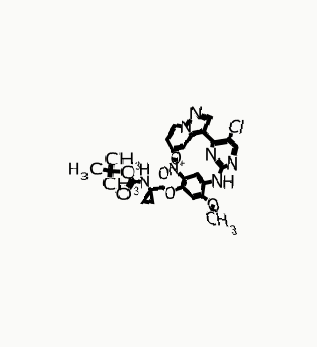 COc1cc(OCC2(NC(=O)OC(C)(C)C)CC2)c([N+](=O)[O-])cc1Nc1ncc(Cl)c(-c2cnn3ccccc23)n1